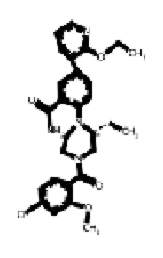 CCOc1ncccc1-c1ccc(N2CCN(C(=O)c3ccc(Cl)cc3OC)C[C@H]2CC)c(C(N)=O)c1